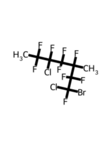 CC(F)(F)C(F)(Cl)C(F)(F)C(C)(F)C(F)(F)C(F)(Cl)Br